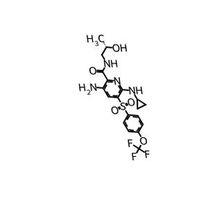 C[C@H](O)CNC(=O)c1nc(NC2CC2)c(S(=O)(=O)c2ccc(OC(F)(F)F)cc2)cc1N